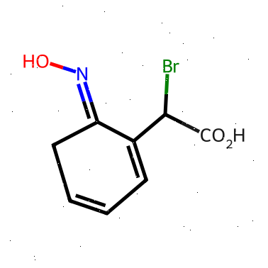 O=C(O)C(Br)C1=CC=CCC1=NO